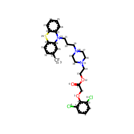 O=C(COc1c(Cl)cccc1Cl)OCCN1CCN(CCCN2c3ccccc3Sc3ccc(C(F)(F)F)cc32)CC1